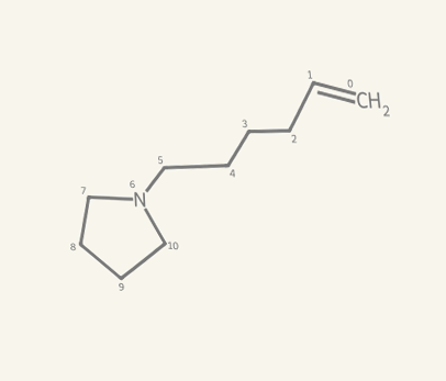 C=CCCCCN1CCCC1